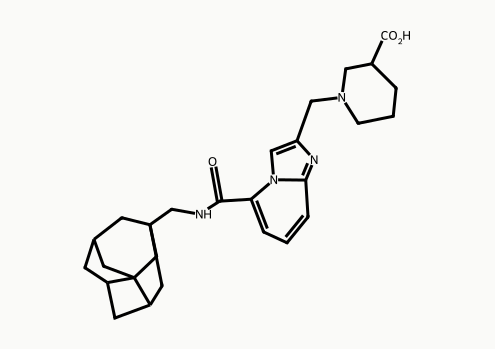 O=C(NCC12CC3CC4CC(C1)C4(C3)C2)c1cccc2nc(CN3CCCC(C(=O)O)C3)cn12